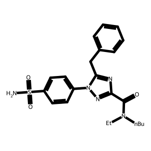 CCCCN(CC)C(=O)c1nc(Cc2ccccc2)n(-c2ccc(S(N)(=O)=O)cc2)n1